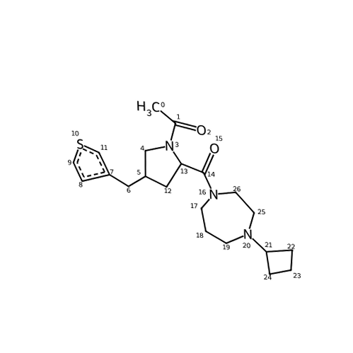 CC(=O)N1CC(Cc2ccsc2)CC1C(=O)N1CCCN(C2CCC2)CC1